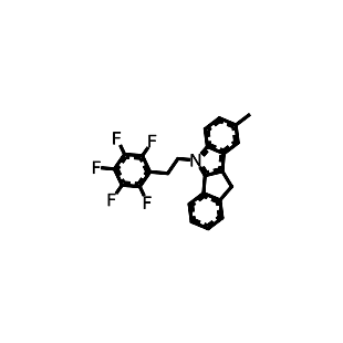 Cc1ccc2c(c1)c1c(n2CCc2c(F)c(F)c(F)c(F)c2F)-c2ccccc2C1